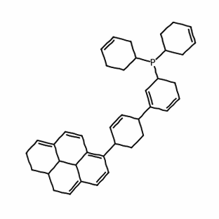 C1=CCC(P(C2C=C(C3C=CC(C4=C5C=CC6=CCCC7CC=C(C=C4)C5C67)CC3)C=CC2)C2CC=CCC2)CC1